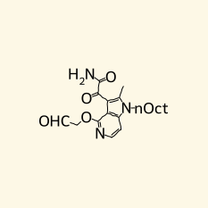 CCCCCCCCn1c(C)c(C(=O)C(N)=O)c2c(OCC=O)nccc21